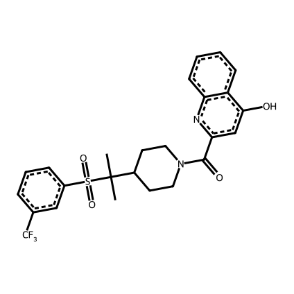 CC(C)(C1CCN(C(=O)c2cc(O)c3ccccc3n2)CC1)S(=O)(=O)c1cccc(C(F)(F)F)c1